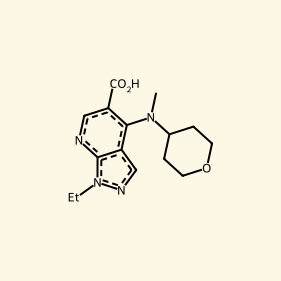 CCn1ncc2c(N(C)C3CCOCC3)c(C(=O)O)cnc21